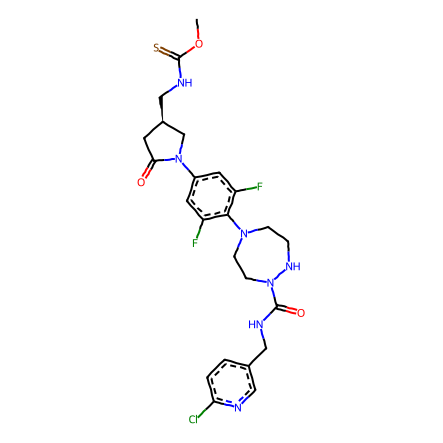 COC(=S)NC[C@@H]1CC(=O)N(c2cc(F)c(N3CCNN(C(=O)NCc4ccc(Cl)nc4)CC3)c(F)c2)C1